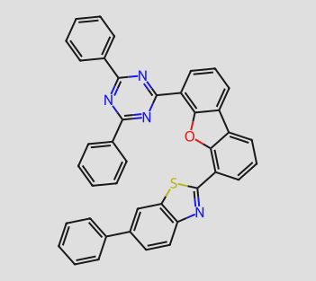 c1ccc(-c2ccc3nc(-c4cccc5c4oc4c(-c6nc(-c7ccccc7)nc(-c7ccccc7)n6)cccc45)sc3c2)cc1